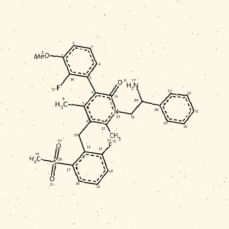 COc1cccc(-c2c(C)c(Cc3c(F)cccc3S(C)(=O)=O)c(C)n(CC(N)c3ccccc3)c2=O)c1F